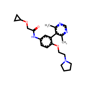 Cc1ncnc(C)c1-c1cc(NC(=O)COC2CC2)ccc1OCCN1CCCC1